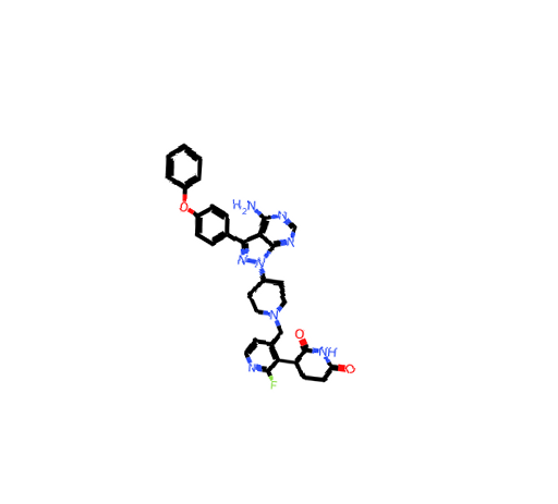 Nc1ncnc2c1c(-c1ccc(Oc3ccccc3)cc1)nn2C1CCN(Cc2ccnc(F)c2C2CCC(=O)NC2=O)CC1